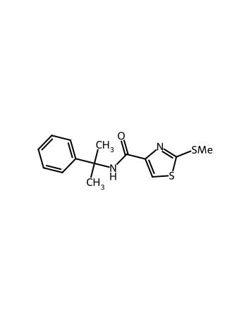 CSc1nc(C(=O)NC(C)(C)c2ccccc2)cs1